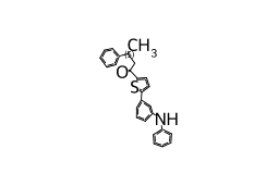 C[C@@H](CC(=O)c1ccc(-c2cccc(Nc3ccccc3)c2)s1)c1ccccc1